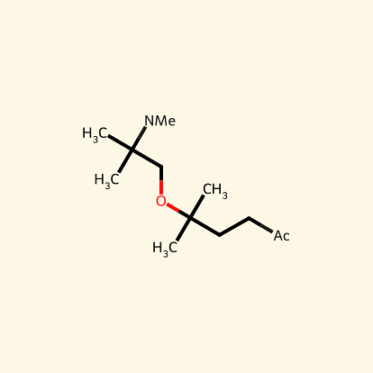 CNC(C)(C)COC(C)(C)CCC(C)=O